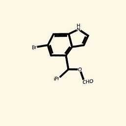 CC(C)C(OC=O)c1cc(Br)cc2[nH]ccc12